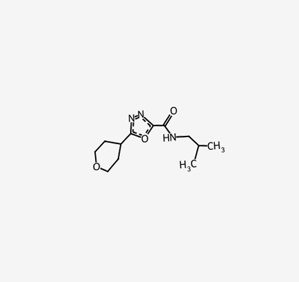 CC(C)CNC(=O)c1nnc(C2CCOCC2)o1